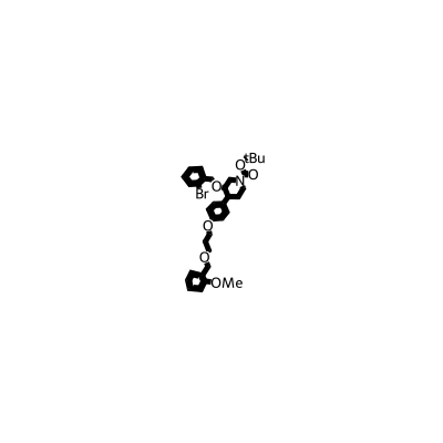 COc1ccccc1COCCCOc1ccc(C2CCN(C(=O)OC(C)(C)C)CC2OCc2ccccc2Br)cc1